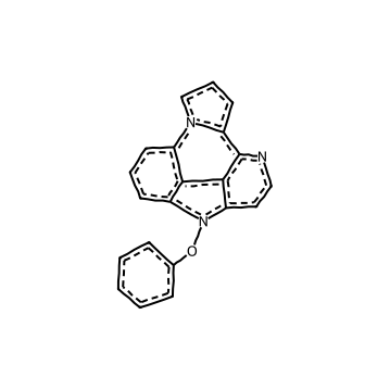 c1ccc(On2c3ccnc4c3c3c2cccc3n2cccc42)cc1